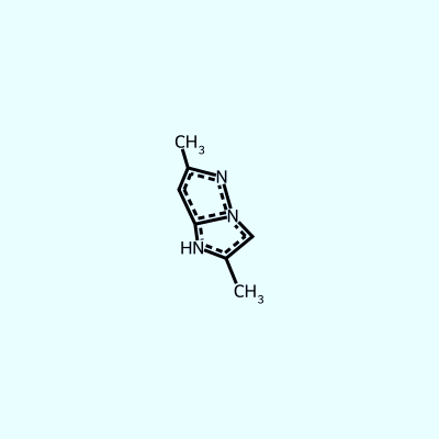 Cc1cc2[nH]c(C)cn2n1